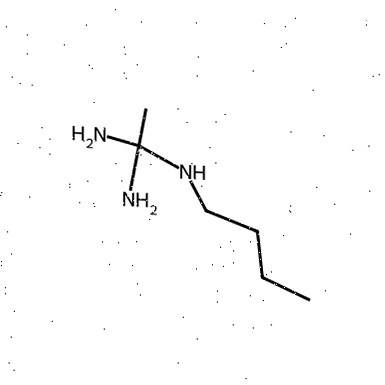 CCCCNC(C)(N)N